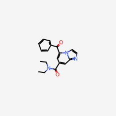 CCN(CC)C(=O)c1cc(C(=O)c2ccccc2)n2ccnc2c1